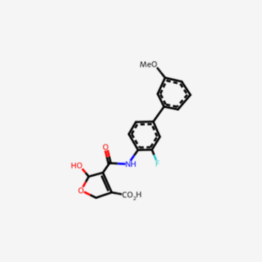 COc1cccc(-c2ccc(NC(=O)C3=C(C(=O)O)COC3O)c(F)c2)c1